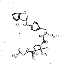 CC1(C)[C@H](C(=O)N[C@@H](Cc2ccc(NC(=O)c3c(Cl)cccc3Cl)cc2)C(=O)O)CC[C@]1(C)C(=O)NCC(N)=O